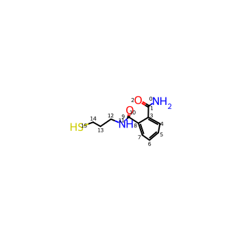 NC(=O)c1ccccc1C(=O)NCCCS